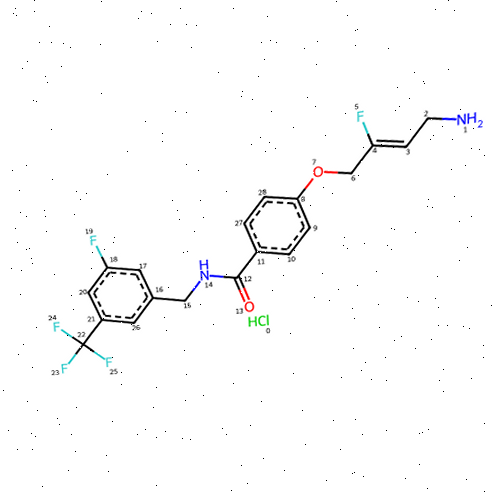 Cl.NCC=C(F)COc1ccc(C(=O)NCc2cc(F)cc(C(F)(F)F)c2)cc1